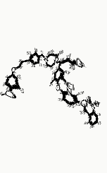 COc1ccc(OCCc2ccc(CN3CCN(/C(=C/C=O)c4cc(C)c(Oc5ccc(OCc6ccccc6[N+](=O)[O-])cn5)c(Cl)c4)CC3)cc2)cc1